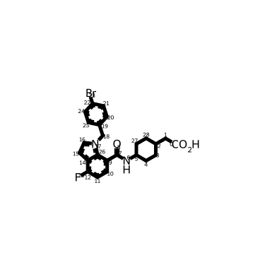 O=C(O)CC1CCC(NC(=O)c2ccc(F)c3ccn(Cc4ccc(Br)cc4)c23)CC1